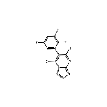 Fc1cc(F)c(F)c(-c2c(Cl)nc3ncnn3c2Cl)c1